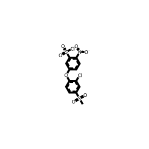 CS(=O)(=O)c1ccc(Oc2ccc([N+](=O)[O-])c(S(=O)(=O)Cl)c2)c(Cl)c1